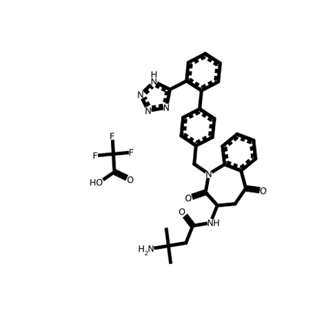 CC(C)(N)CC(=O)NC1CC(=O)c2ccccc2N(Cc2ccc(-c3ccccc3-c3nnn[nH]3)cc2)C1=O.O=C(O)C(F)(F)F